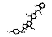 CCc1cc(-c2cnc(N[S+]([O-])c3ccccc3Cl)nc2OC)cc2cnc(N[C@H]3CC[C@H](N)CC3)nc12